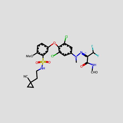 COc1ccc(Oc2c(Cl)cc(N(C)/N=C(\C(=O)NC=O)C(F)F)cc2Cl)cc1S(=O)(=O)NCCC1(C#N)CC1